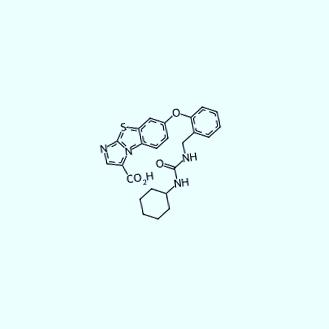 O=C(NCc1ccccc1Oc1ccc2c(c1)sc1ncc(C(=O)O)n12)NC1CCCCC1